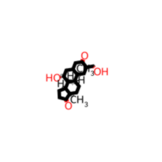 C[C@]12CC(CO)C(=O)CC1C[C@@H](O)[C@@H]1[C@@H]2CC[C@]2(C)C(=O)CC[C@@H]12